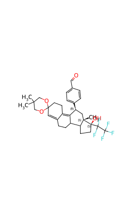 CC1(C)COC2(C=C3CCC4C(=C3CC2)[C@@H](c2ccc(C=O)cc2)C[C@@]2(C)C4CC[C@@]2(O)C(F)(F)C(F)(F)F)OC1